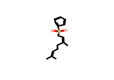 CC(C)=CCC/C(C)=C\CS(=O)(=O)c1ccccc1